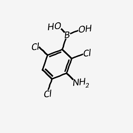 Nc1c(Cl)cc(Cl)c(B(O)O)c1Cl